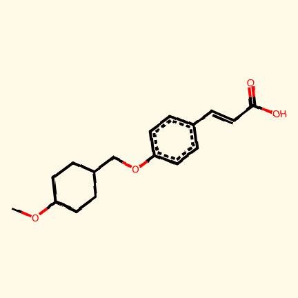 COC1CCC(COc2ccc(C=CC(=O)O)cc2)CC1